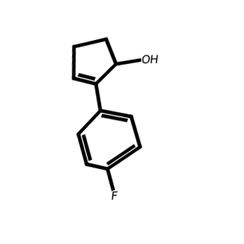 OC1CCC=C1c1ccc(F)cc1